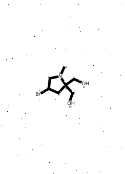 CN1CC(Br)CC1(CO)CO